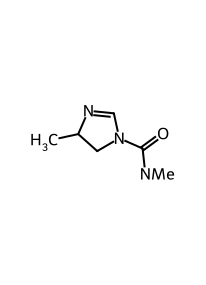 CNC(=O)N1C=NC(C)C1